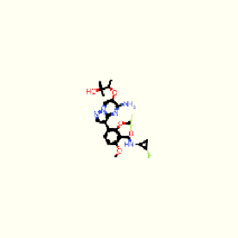 COc1ccc(-c2cnn3cc(OC(C)C(C)(C)O)c(N)nc23)c(OC(F)F)c1C(=O)N[C@@H]1C[C@@H]1F